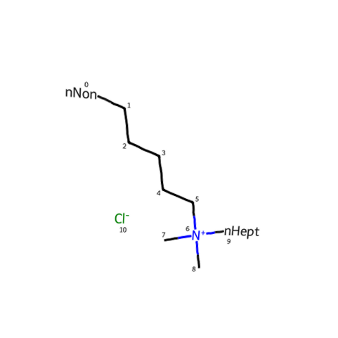 CCCCCCCCCCCCCC[N+](C)(C)CCCCCCC.[Cl-]